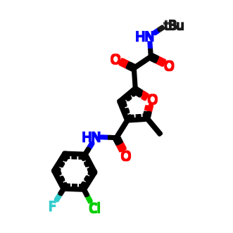 Cc1oc(C(=O)C(=O)NC(C)(C)C)cc1C(=O)Nc1ccc(F)c(Cl)c1